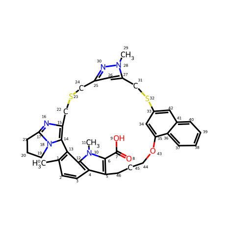 Cc1ccc2c3c(C(=O)O)n(C)c2c1-c1c(nc2n1CCC2)CSCc1cc(n(C)n1)CSc1cc(c2ccccc2c1)OCCC3